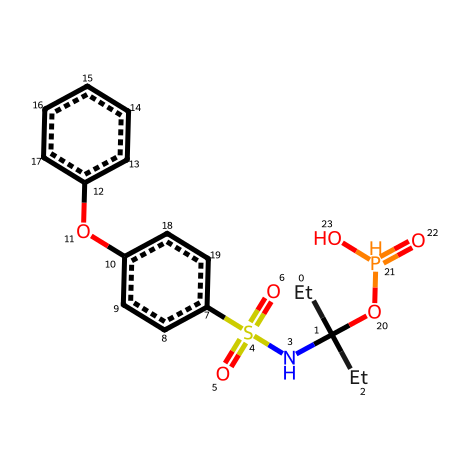 CCC(CC)(NS(=O)(=O)c1ccc(Oc2ccccc2)cc1)O[PH](=O)O